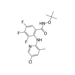 Cc1cc(Cl)cnc1Nc1c(C(=O)NOC(C)(C)C)cc(F)c(F)c1F